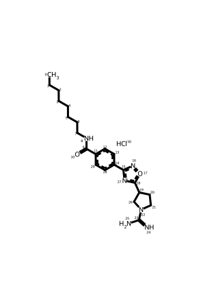 CCCCCCCCNC(=O)c1ccc(-c2noc(C3CCN(C(=N)N)C3)n2)cc1.Cl